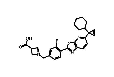 O=C(O)C1CN(Cc2ccc(-c3nc4ccc(C5(C6CCCCC6)C=C5)nc4s3)c(F)c2)C1